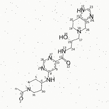 CC(=O)N1CCC(Nc2cc(C(=O)NC[C@H](O)CN3CCc4[nH]cnc4C3)ncn2)CC1